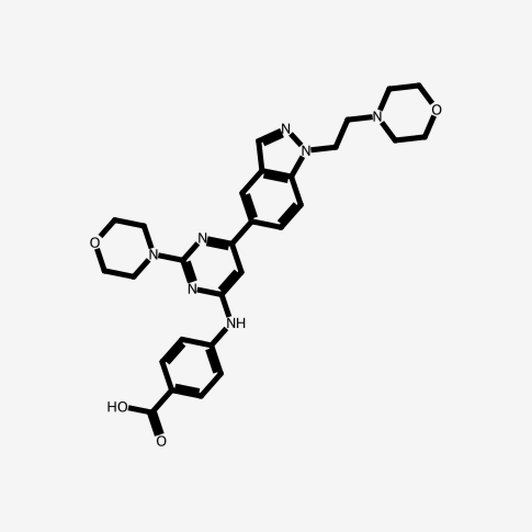 O=C(O)c1ccc(Nc2cc(-c3ccc4c(cnn4CCN4CCOCC4)c3)nc(N3CCOCC3)n2)cc1